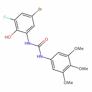 COc1cc(NC(=O)Nc2cc(Br)cc(F)c2O)cc(OC)c1OC